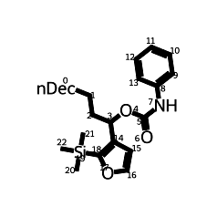 CCCCCCCCCCCCC(OC(=O)Nc1ccccc1)c1ccoc1[Si](C)(C)C